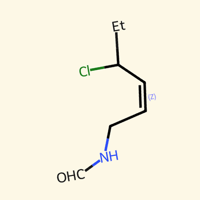 CCC(Cl)/C=C\CNC=O